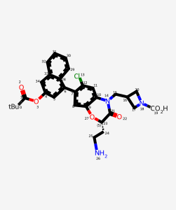 CC(C)(C)C(=O)Oc1cc(-c2cc3c(cc2Cl)N(CC2CN(C(=O)O)C2)C(=O)[C@H](CCN)O3)c2ccccc2c1